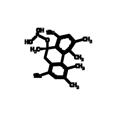 Cc1cc(C(C)(C)C)c2c(c1C)-c1c(C)c(C)cc(C(C)(C)C)c1[C@@](C)(OP(O)O)C2